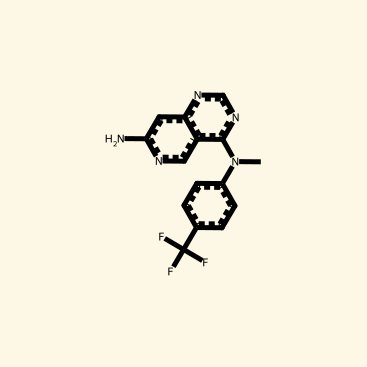 CN(c1ccc(C(F)(F)F)cc1)c1ncnc2cc(N)ncc12